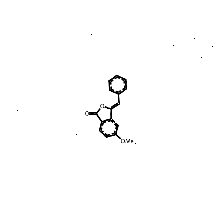 COc1ccc2c(c1)/C(=C/c1ccccc1)OC2=O